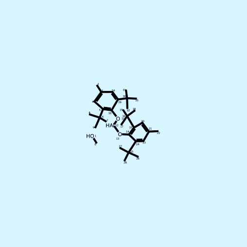 CO.Cc1cc(C(C)(C)C)c([O][AlH][O]c2c(C(C)(C)C)cc(C)cc2C(C)(C)C)c(C(C)(C)C)c1